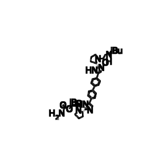 CCC(C)NCC(=O)N1CCC[C@H]1c1ncc(-c2ccc(-c3ccc(-c4cnc([C@@H]5CCCN5C(=O)[C@@H](OC(N)=O)C(C)CC)[nH]4)cc3)cc2)[nH]1